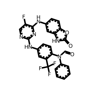 O=CN(c1ccccc1)c1ccc(Nc2ncc(F)c(Nc3ccc4oc(=O)[nH]c4c3)n2)cc1C(F)(F)F